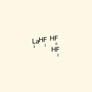 F.F.F.[La]